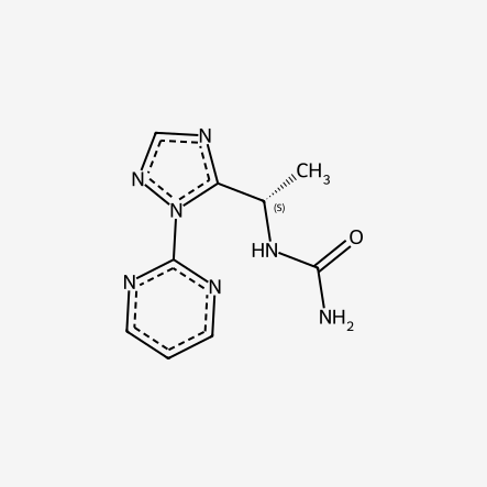 C[C@H](NC(N)=O)c1ncnn1-c1ncccn1